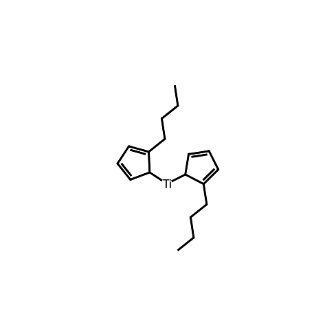 CCCCC1=CC=C[CH]1[Ti][CH]1C=CC=C1CCCC